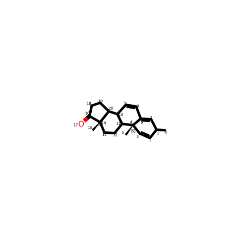 CC1C=C[C@@]2(C)C(=C1)C=CC1C2CC[C@]2(C)C(=O)CCC12